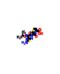 CC(C)O/N=C(/C(=O)NC1C(=O)N2C(C(=O)O)=CCS[C@H]12)c1csc(N)n1